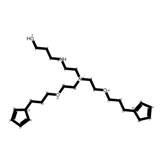 OCCCNCCN(CCOCCCC1=CC=CC1)CCOCCCC1C=CC=C1